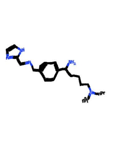 CCCN(CCC)CCCCC(N)c1ccc(CN=Cc2ncc[nH]2)cc1